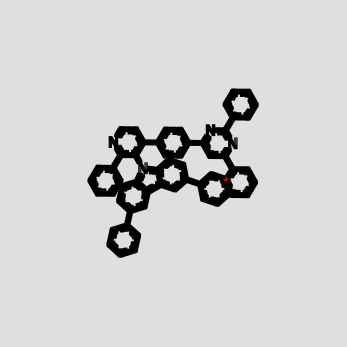 c1ccc(-c2ccc3c(c2)c2cc(-c4ccccc4)ccc2n3-c2c(-c3ccc(-c4cc(-c5ccccc5)nc(-c5ccccc5)n4)cc3)ccnc2-c2ccccc2)cc1